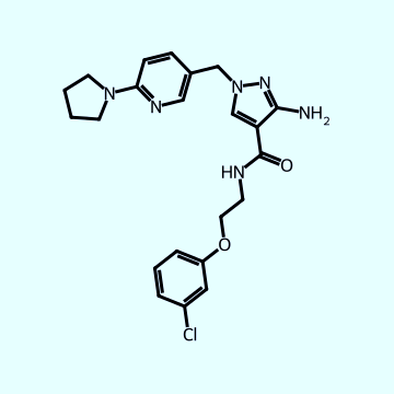 Nc1nn(Cc2ccc(N3CCCC3)nc2)cc1C(=O)NCCOc1cccc(Cl)c1